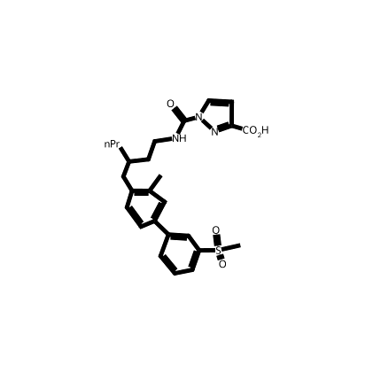 CCCC(CCNC(=O)n1ccc(C(=O)O)n1)Cc1ccc(-c2cccc(S(C)(=O)=O)c2)cc1C